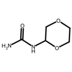 NC(=O)NC1COCCO1